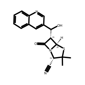 CC1(C)S[C@@H]2[C@@H](C(O)c3cnc4ccccc4c3)C(=O)N2[C@H]1C#N